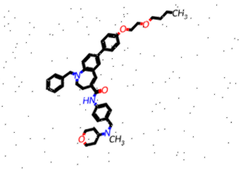 CCCCOCCOc1ccc(-c2ccc3c(c2)C=C(C(=O)Nc2ccc(CN(C)C4CCOCC4)cc2)CCN3Cc2ccccc2)cc1